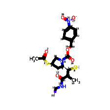 CC(=O)S[C@@H]1C[C@@H](C(S)C(C)C(=O)NCI)N(C(=O)OCc2ccc([N+](=O)[O-])cc2)C1